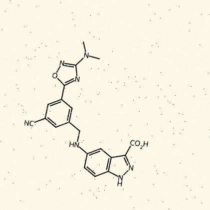 CN(C)c1noc(-c2cc(C#N)cc(CNc3ccc4[nH]nc(C(=O)O)c4c3)c2)n1